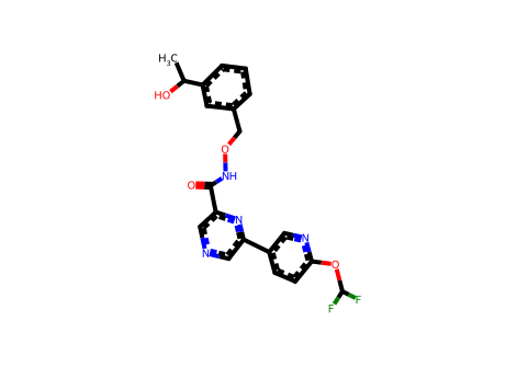 CC(O)c1cccc(CONC(=O)c2cncc(-c3ccc(OC(F)F)nc3)n2)c1